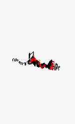 CCCCC[Si@H]1CC[C@H](c2ccc(-c3ccc(CCc4ccc(OCCC)cc4)cc3)c(F)c2)CC1